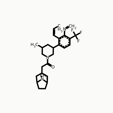 C=Nc1c(C(F)(F)F)ccc(C2CC(C)CN(C(=O)CC3CC4CCC(C3)N4C)C2)c1/C=C\C